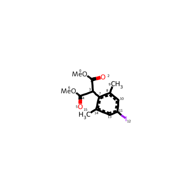 COC(=O)C(C(=O)OC)c1c(C)cc(I)cc1C